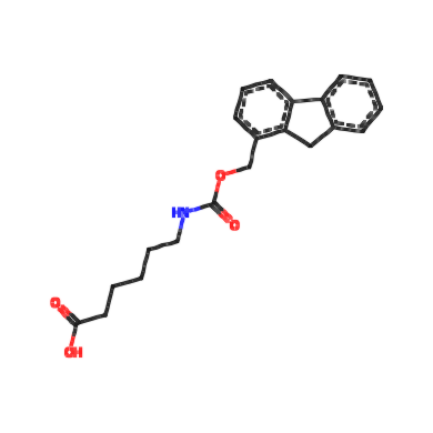 O=C(O)CCCCCNC(=O)OCc1cccc2c1Cc1ccccc1-2